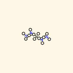 c1ccc(-n2c3ccccc3c3cc4c5cc([Si](c6ccccc6)(c6ccccc6)c6ccc7c(c6)c6cc8c9ccccc9n(-c9ccccc9)c8cc6n7-c6ccccc6)ccc5n(-c5ccccc5)c4cc32)cc1